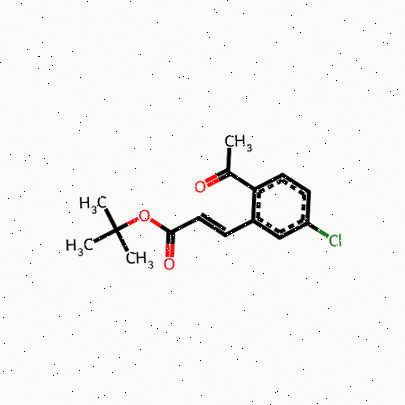 CC(=O)c1ccc(Cl)cc1C=CC(=O)OC(C)(C)C